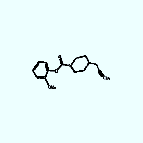 C#CCC1CCN(C(=O)Oc2ccccc2OC)CC1